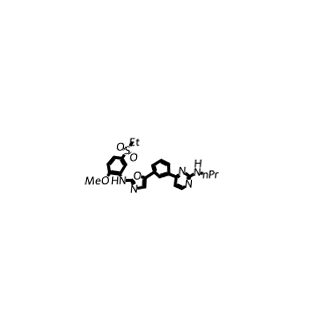 CCCNc1nccc(-c2cccc(-c3cnc(Nc4cc(S(=O)(=O)CC)ccc4OC)o3)c2)n1